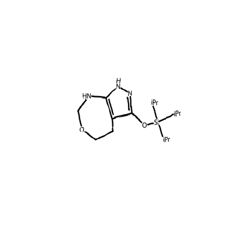 CC(C)[Si](Oc1n[nH]c2c1CCOCN2)(C(C)C)C(C)C